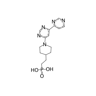 O=P(O)(O)CCC1CCN(c2cc(-c3ccncn3)ncn2)CC1